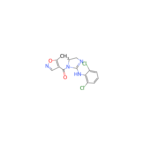 Cc1oncc1C(=O)N1CCN=C1Nc1c(Cl)cccc1Cl